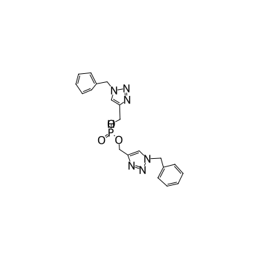 O=[PH](OCc1cn(Cc2ccccc2)nn1)OCc1cn(Cc2ccccc2)nn1